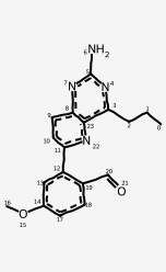 CCCc1nc(N)nc2ccc(-c3cc(OC)ccc3C=O)nc12